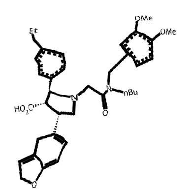 CCCCN(Cc1ccc(OC)c(OC)c1)C(=O)CN1C[C@H](C2=CC=C3OCC=C3C2)[C@H](C(=O)O)[C@H]1c1ccc(CC)cc1